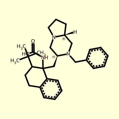 CC(C)(C)C1CCc2ccccc2C1(C[C@H]1CN2CCC[C@@H]2CN1Cc1ccccc1)NC(=O)O